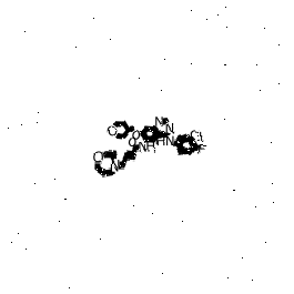 O=C(/C=C/CN1CCCOCC1)Nc1cc2c(Nc3ccc(F)c(Cl)c3)ncnc2cc1OCC1CCOCC1